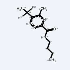 Cc1nc(C(=O)NCCCN)nnc1C(C)(F)F